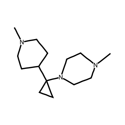 CN1CCC(C2(N3CCN(C)CC3)CC2)CC1